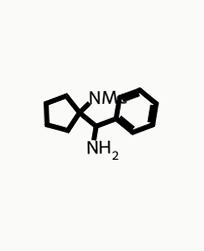 CNC1(C(N)c2ccccc2)CCCC1